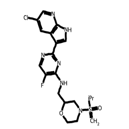 C=S(=O)(C(C)C)N1CCOC(CNc2nc(-c3c[nH]c4ncc(Cl)cc34)ncc2F)C1